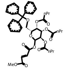 CCCC(=O)O[C@@H]1[C@H](OC(=O)CCC)[C@@H](OC(=O)CCC)C(OC(=O)/C=C/C(=O)OC)O[C@@H]1COC(c1ccccc1)(c1ccccc1)c1ccccc1